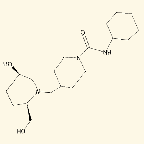 O=C(NC1CCCCC1)N1CCC(CN2C[C@H](O)CC[C@@H]2CO)CC1